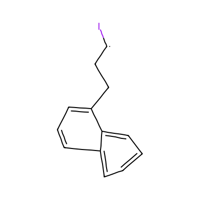 I[CH]CCc1cccc2ccccc12